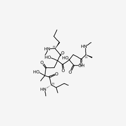 CCC[C@H](NC)C(=O)C(O)(CC(=O)C(C)(O)C(=O)[C@@H](NC)C(C)CC)C(=O)C(O)(CC(=O)[C@H](C)NC)C(=O)O